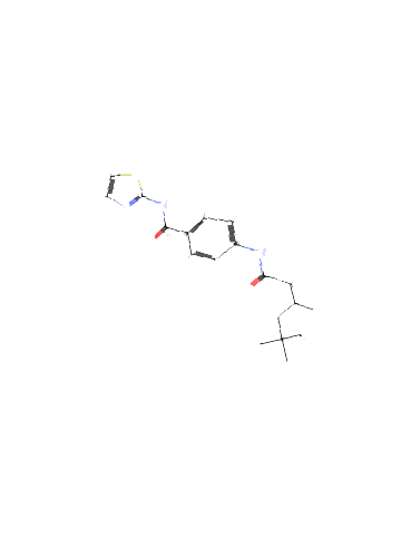 CC(CC(=O)Nc1ccc(C(=O)Nc2nccs2)cc1)CC(C)(C)C